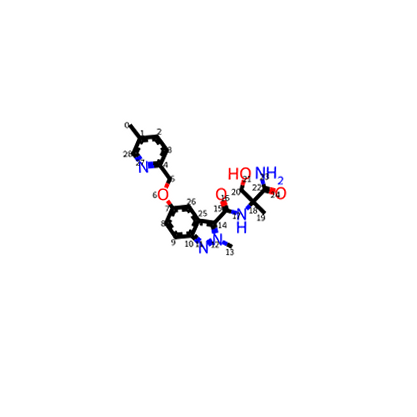 Cc1ccc(COc2ccc3nn(C)c(C(=O)NC(C)(CO)C(N)=O)c3c2)nc1